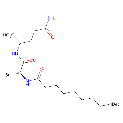 CCCCCCCCCCCCCCCCCC(=O)N[C@H](C(=O)N[C@@H](CCC(N)=O)C(=O)O)[C@@H](C)CC